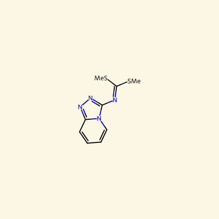 CSC(=Nc1nnc2ccccn12)SC